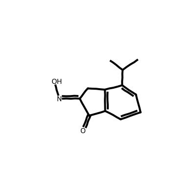 CC(C)c1cccc2c1CC(=NO)C2=O